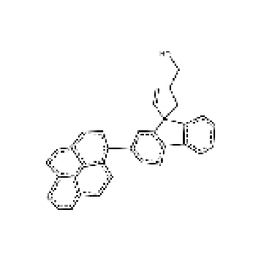 C=CC1(CCCO)c2ccccc2-c2ccc(-c3ccc4ccc5cccc6ccc3c4c56)cc21